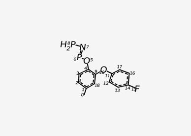 Cc1ccc(OP=NP)c(Oc2ccc(F)cc2)c1